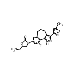 Cc1cc(-c2n[nH]c3c2CCCc2cc(N4CC(CN)OC4=O)cc(F)c2-3)no1